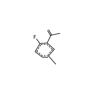 C=C(C)c1cc(C)ccc1F